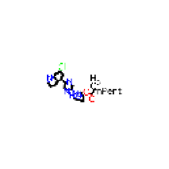 CCCCCC(C)C(=O)OC12CC(CN(c3cnc(-c4cc(Cl)cc5ncccc45)cn3)C1)N2